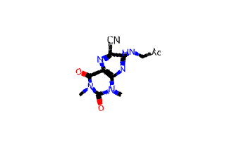 CC(=O)CNc1nc2c(nc1C#N)c(=O)n(C)c(=O)n2C